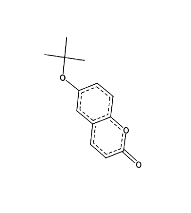 CC(C)(C)Oc1ccc2oc(=O)ccc2c1